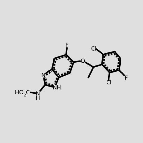 CC(Oc1cc2[nH]c(NC(=O)O)nc2cc1F)c1c(Cl)ccc(F)c1Cl